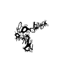 Cc1ccc(N(C=O)c2ccc(OCCNC(=O)OC(C)(C)C)cc2)cc1Nc1nccc(-c2cccnc2)n1